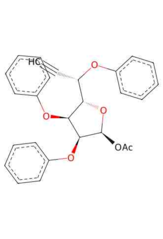 C#C[C@H](Oc1ccccc1)[C@@H]1O[C@@H](OC(C)=O)[C@@H](Oc2ccccc2)[C@H]1Oc1ccccc1